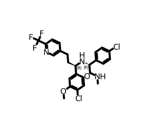 CNC(=O)[C@H](N[C@H](CCc1ccc(C(F)(F)F)nc1)c1ccc(Cl)c(OC)c1)c1ccc(Cl)cc1